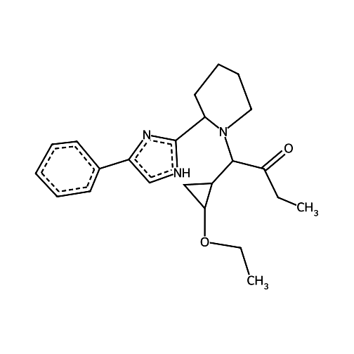 CCOC1CC1C(C(=O)CC)N1CCCCC1c1nc(-c2ccccc2)c[nH]1